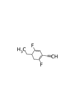 C#CC1=C(F)CC(CC)C(F)=C1